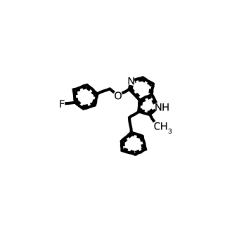 Cc1[nH]c2ccnc(OCc3ccc(F)cc3)c2c1Cc1ccccc1